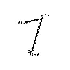 CCCCCCCCC=C(CCCCCCCCCCCCCCCCCC(=O)OC)CCCCCCCC(=O)OC